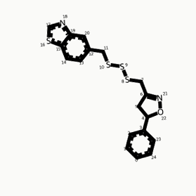 c1ccc(C2CC(CSSSCc3ccc4scnc4c3)=NO2)cc1